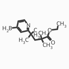 Bc1ccnc(C(C)(C)CC(C)(C)C(=O)OCC)c1